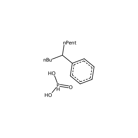 CCCCCC(CCCC)c1ccccc1.O=[PH](O)O